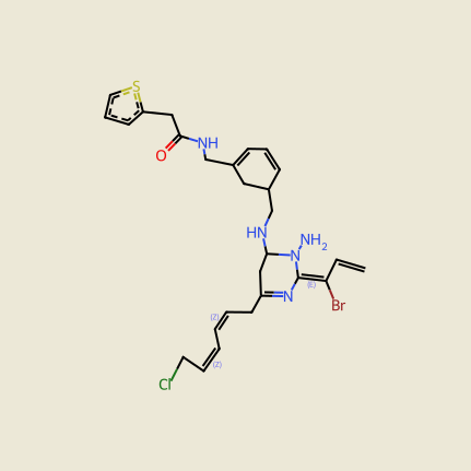 C=C/C(Br)=C1/N=C(C/C=C\C=C/CCl)CC(NCC2C=CC=C(CNC(=O)Cc3cccs3)C2)N1N